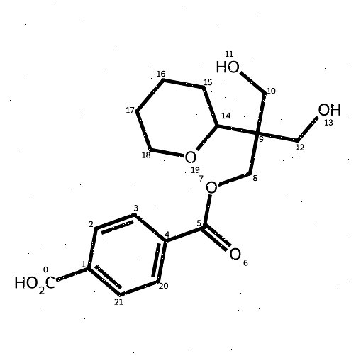 O=C(O)c1ccc(C(=O)OCC(CO)(CO)C2CCCCO2)cc1